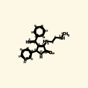 CNCCNC1=C(C(=N)c2ccccc2)C(c2cccnc2)NC1=O